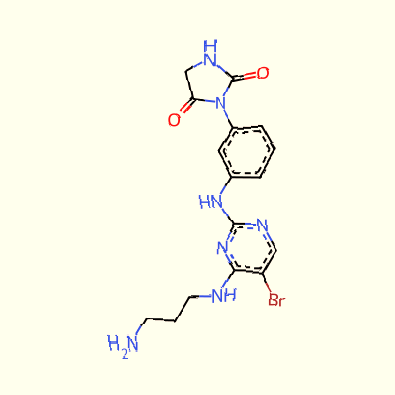 NCCCNc1nc(Nc2cccc(N3C(=O)CNC3=O)c2)ncc1Br